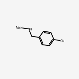 CNNCc1ccc(C#N)cc1